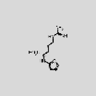 N=C(N)NCCC[C@H](Nc1ccco1)C(=O)O